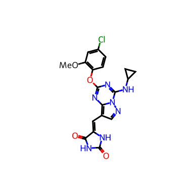 COc1cc(Cl)ccc1Oc1nc(NC2CC2)n2ncc(/C=C3\NC(=O)NC3=O)c2n1